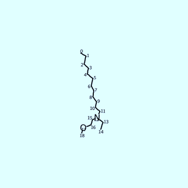 CCCCCCCCCCCCN(CC)CCOC